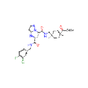 COC(=O)C1(C)CCC(C)(CNC(=O)c2cc(C(=O)NCc3ccc(F)c(Cl)c3)nc3ccnn23)CC1